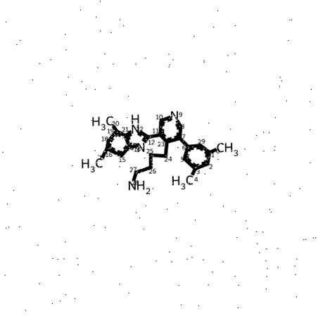 Cc1cc(C)cc(-c2cncc(-c3nc4cc(C)cc(C)c4[nH]3)c2CCCCN)c1